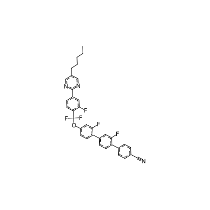 CCCCCc1cnc(-c2ccc(C(F)(F)Oc3ccc(-c4ccc(-c5ccc(C#N)cc5)c(F)c4)c(F)c3)c(F)c2)nc1